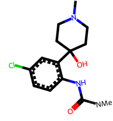 CNC(=O)Nc1ccc(Cl)cc1C1(O)CCN(C)CC1